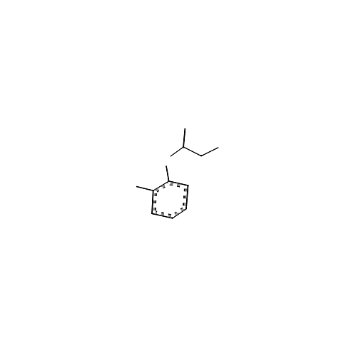 CCC(C)Oc1[c]cccc1Cl